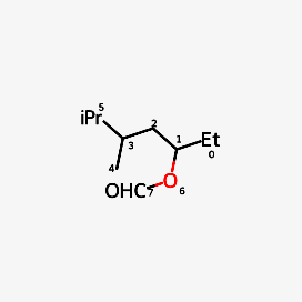 CCC(CC(C)C(C)C)OC=O